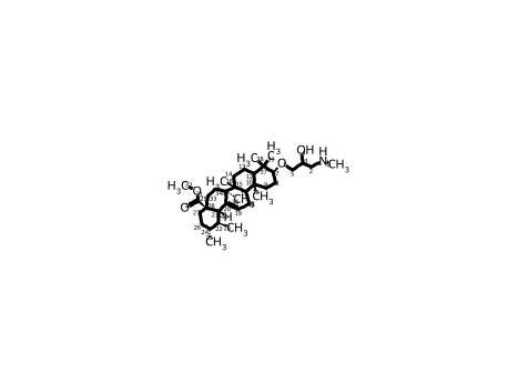 CNCC(O)CO[C@H]1CC[C@@]2(C)C(CC[C@]3(C)C2CC=C2[C@@H]4[C@@H](C)[C@H](C)CC[C@]4(C(=O)OC)CC[C@]23C)C1(C)C